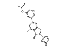 Cc1cc(-c2cncc(OC(F)F)c2)nc2c1C(=O)N(c1cc[nH]n1)C2